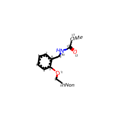 CCCCCCCCCCOc1ccccc1CNC(=O)OC